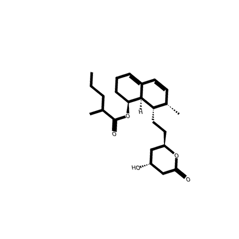 CCCC(C)C(=O)O[C@H]1CCC=C2C=C[C@H](C)[C@H](CC[C@@H]3C[C@@H](O)CC(=O)O3)[C@H]21